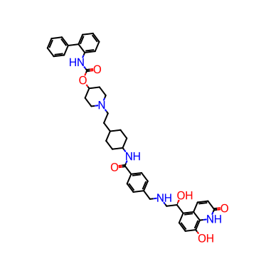 O=C(Nc1ccccc1-c1ccccc1)OC1CCN(CCC2CCC(NC(=O)c3ccc(CNC[C@@H](O)c4ccc(O)c5[nH]c(=O)ccc45)cc3)CC2)CC1